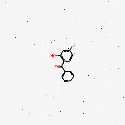 O=C(c1ccccc1)c1ccc(Cl)cc1O